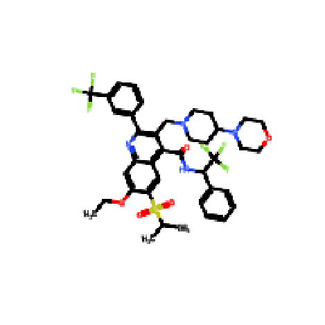 CCOc1cc2nc(-c3cccc(C(F)(F)F)c3)c(CN3CCC(N4CCOCC4)CC3)c(C(=O)NC(c3ccccc3)C(F)(F)F)c2cc1S(=O)(=O)C(C)C